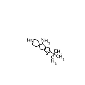 CC(C)(C)c1cc2c(s1)CC1(CCNCC1)C2N